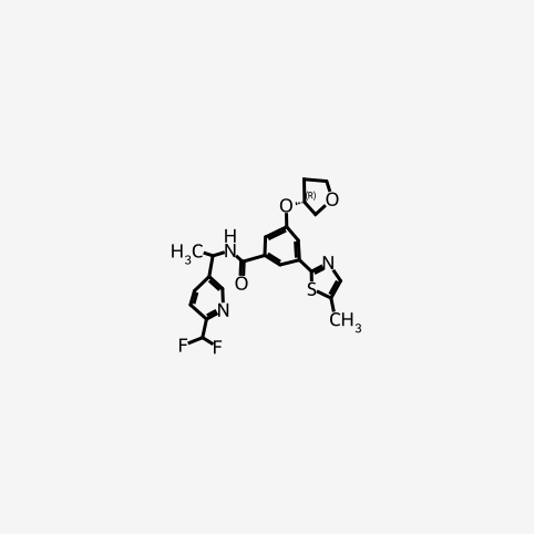 Cc1cnc(-c2cc(O[C@@H]3CCOC3)cc(C(=O)NC(C)c3ccc(C(F)F)nc3)c2)s1